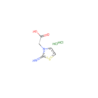 Cl.Cl.N=c1sccn1CC(=O)O